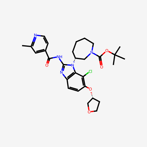 Cc1cc(C(=O)Nc2nc3ccc(O[C@@H]4CCOC4)c(Cl)c3n2[C@@H]2CCCCN(C(=O)OC(C)(C)C)C2)ccn1